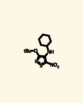 CC(C)(C)Oc1nsc([N+](=O)[O-])c1NC1CCCCC1